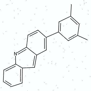 Cc1cc(C)cc(-c2ccc3nc4ccccc4cc3c2)c1